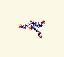 NC(=O)N(CC=CN=C=O)C(=O)N(CC=CN=C=O)CC=CN=C=O